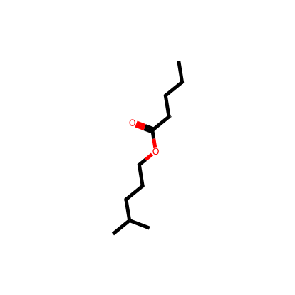 CCC[CH]C(=O)OCCCC(C)C